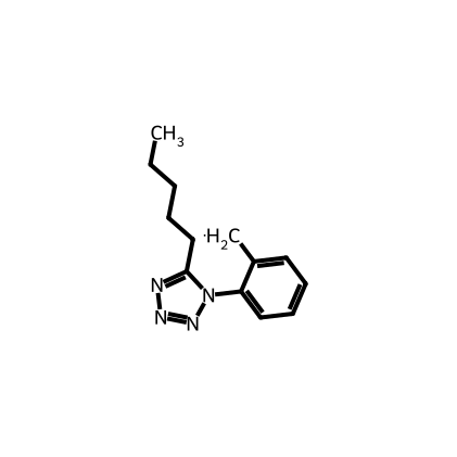 [CH2]c1ccccc1-n1nnnc1CCCCC